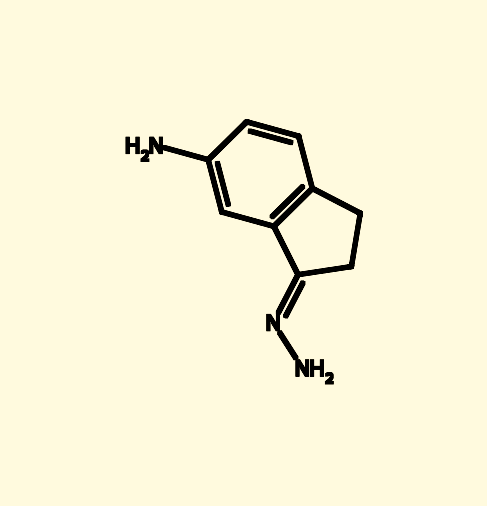 NN=C1CCc2ccc(N)cc21